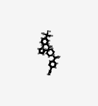 N#Cc1ccc(C(=O)N2CCC3(CC2)Nc2cc(C(F)(F)F)ccc2-n2cccc23)cc1